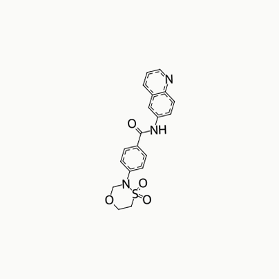 O=C(Nc1ccc2ncccc2c1)c1ccc(N2COCCS2(=O)=O)cc1